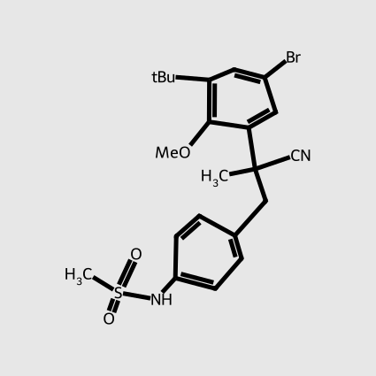 COc1c(C(C)(C)C)cc(Br)cc1C(C)(C#N)Cc1ccc(NS(C)(=O)=O)cc1